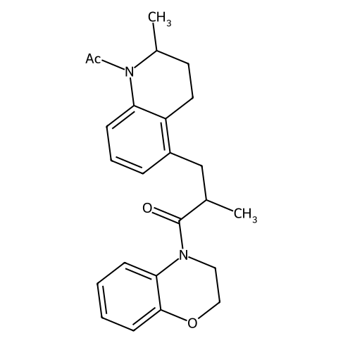 CC(=O)N1c2cccc(CC(C)C(=O)N3CCOc4ccccc43)c2CCC1C